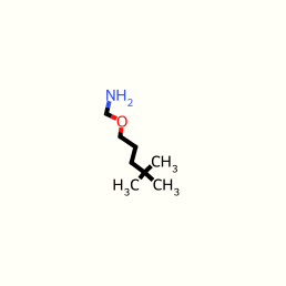 CC(C)(C)CCCOCN